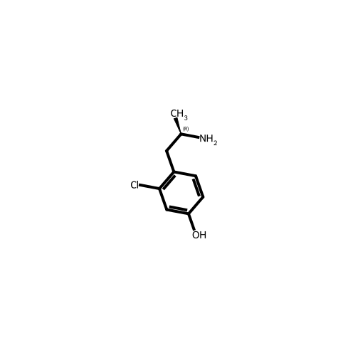 C[C@@H](N)Cc1ccc(O)cc1Cl